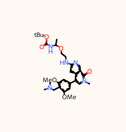 COc1cc(-c2cn(C)c(=O)c3cnc(NCCOC(C)NC(=O)OC(C)(C)C)cc23)cc(OC)c1CN(C)C